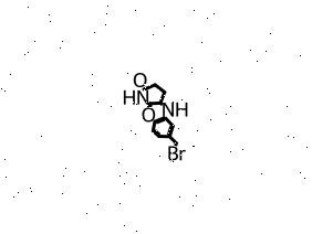 O=C1CCC(Nc2cccc(CBr)c2)C(=O)N1